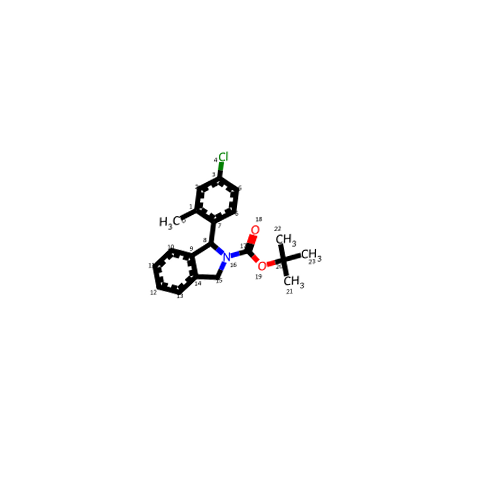 Cc1cc(Cl)ccc1C1c2ccccc2CN1C(=O)OC(C)(C)C